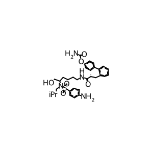 CC(C)CN(C(CO)CCCCNC(=O)[CH]Cc1ccccc1-c1ccc(OC(N)=O)cc1)S(=O)(=O)c1ccc(N)cc1